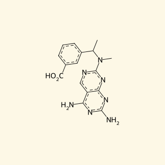 CC(c1cccc(C(=O)O)c1)N(C)c1ncc2c(N)nc(N)nc2n1